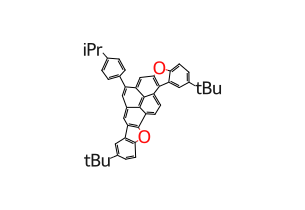 CC(C)c1ccc(-c2cc3cc4c5cc(C(C)(C)C)ccc5oc4c4ccc5c6c(cc2c5c34)oc2ccc(C(C)(C)C)cc26)cc1